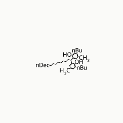 CCCCCCCCCCCCCCCCCCC(c1cc(C)cc(CCCC)c1O)c1cc(C)cc(CCCC)c1O